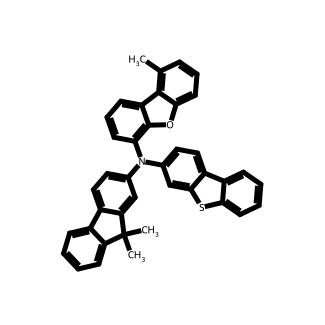 Cc1cccc2oc3c(N(c4ccc5c(c4)C(C)(C)c4ccccc4-5)c4ccc5c(c4)sc4ccccc45)cccc3c12